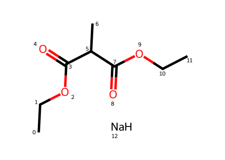 CCOC(=O)C(C)C(=O)OCC.[NaH]